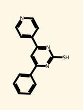 Sc1nc(-c2ccccc2)cc(-c2ccncc2)n1